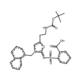 CC(C)(C)OC(=O)NCCc1cn(Cc2cccc3ccccc23)/c(=N/S(=O)(=O)c2ccccc2C(=O)O)s1